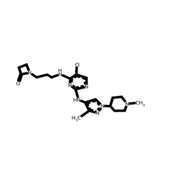 Cc1nn(C2CCN(C)CC2)cc1Nc1ncc(Cl)c(NCCCN2CCC2=O)n1